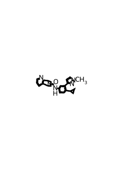 Cn1ccc(-c2cc(NC(=O)N3C4CCC3c3ncccc34)ccc2C2CC2)n1